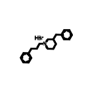 Br.c1ccc(CCCN2CCCC(Cc3ccccc3)C2)cc1